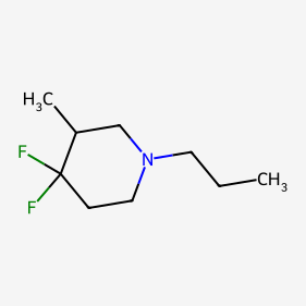 CCCN1CCC(F)(F)C(C)C1